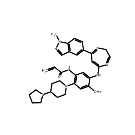 C=CC(=O)Nc1cc(NC2=CC(c3ccc4c(cnn4C)c3)=NCC=N2)c(OC)cc1N1CCC(N2CCCC2)CC1